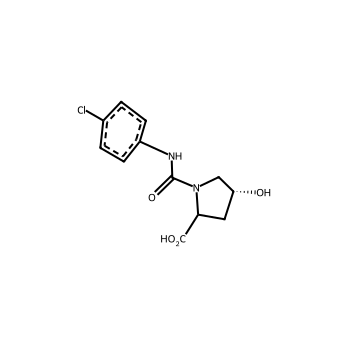 O=C(O)C1C[C@@H](O)CN1C(=O)Nc1ccc(Cl)cc1